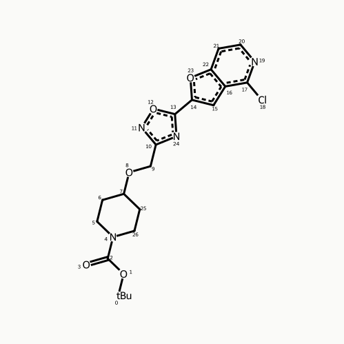 CC(C)(C)OC(=O)N1CCC(OCc2noc(-c3cc4c(Cl)nccc4o3)n2)CC1